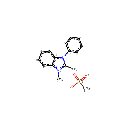 COS(=O)(=O)[O-].C[n+]1c(C(F)(F)F)n(-c2ccccc2)c2ccccc21